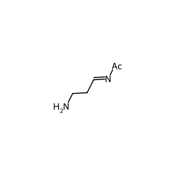 CC(=O)/N=C/CCN